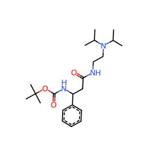 CC(C)N(CCNC(=O)CC(NC(=O)OC(C)(C)C)c1ccccc1)C(C)C